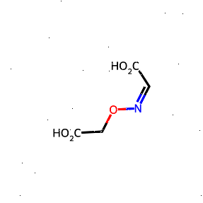 O=C(O)/C=N\OCC(=O)O